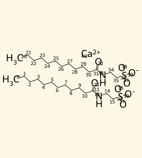 CCCCCCCCCCCC(=O)NCCS(=O)(=O)[O-].CCCCCCCCCCCC(=O)NCCS(=O)(=O)[O-].[Ca+2]